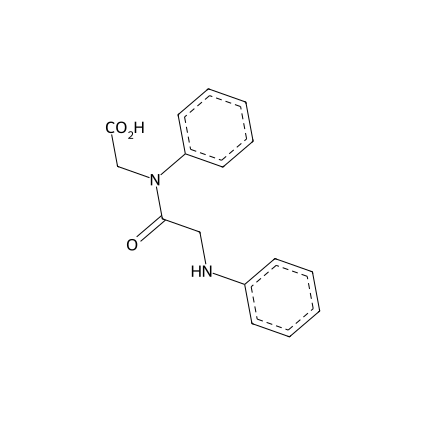 O=C(O)CN(C(=O)CNc1ccccc1)c1ccccc1